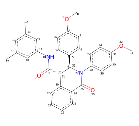 COc1ccc([C@@H]2[C@@H](C(=O)Nc3cc(C)cc(C)c3)c3ccccc3C(=O)N2c2ccc(OC)cc2)cc1